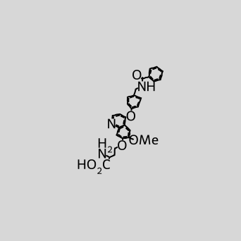 COc1cc2c(Oc3ccc(CNC(=O)c4ccccc4)cc3)ccnc2cc1OCC[C@H](N)C(=O)O